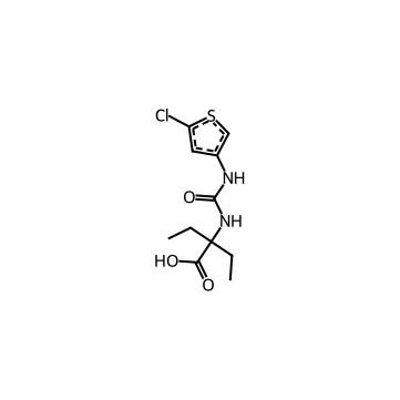 CCC(CC)(NC(=O)Nc1csc(Cl)c1)C(=O)O